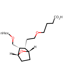 CCCCCCOC[C@@H]1[C@H](CCOCCCC(=O)O)[C@@H]2CC[C@H]1O2